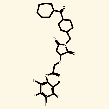 O=C(CSC1CC(=O)N(CC2CCC(C(=O)C3CCCCCC3)CC2)C1=O)Oc1c(F)c(F)c(F)c(F)c1F